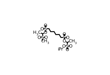 CC(C)OS(=O)(=O)C(C)OS(=O)(=O)CCCCCCS(=O)(=O)OC(C)S(C)(=O)=O